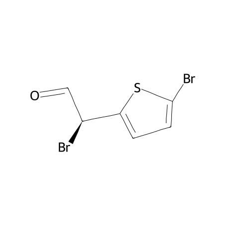 O=C[C@H](Br)c1ccc(Br)s1